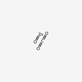 O=C=O.[O]=[Zn]